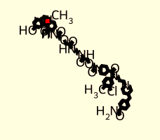 Cc1ccc(N(CCCN2CCC(Cc3ccc(C(N)=O)cc3)CC2)C(=O)C2CCN(C(=O)COCC(=O)NCCNC(=O)COCC(=O)N[C@H]3CC[C@@]4(O)C5Cc6ccc(O)c7c6[C@@]4(CCN5C)[C@H]3O7)CC2)cc1Cl